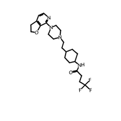 O=C(CCC(F)(F)F)NC1CCC(CCN2CCN(c3nccc4c3OCC4)CC2)CC1